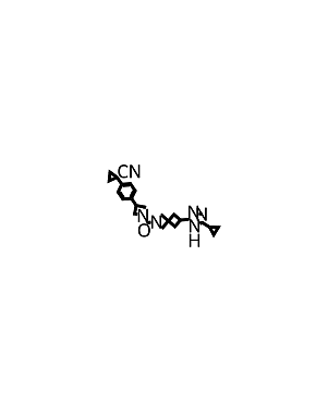 N#CC1(c2ccc(C3CN(C(=O)N4CC5(CC(c6nnc(C7CC7)[nH]6)C5)C4)C3)cc2)CC1